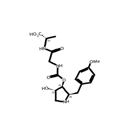 COc1ccc(C[C@H]2NC[C@H](O)[C@H]2OC(=O)NCC(=O)N[C@@H](C)C(=O)O)cc1